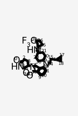 O=C1CCC(N2Cc3c(cccc3N(CCC3CC3)C3CCC(N[C@H]4CC[C@@H]4C(F)(F)F)CC3)C2=O)C(=O)N1